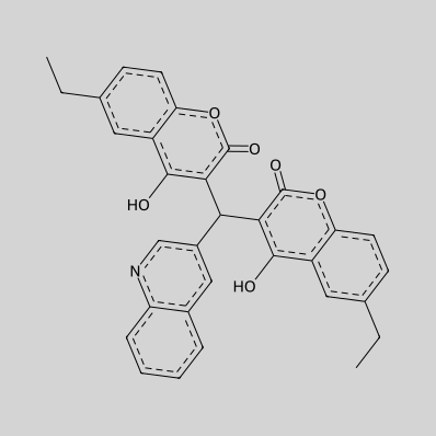 CCc1ccc2oc(=O)c(C(c3cnc4ccccc4c3)c3c(O)c4cc(CC)ccc4oc3=O)c(O)c2c1